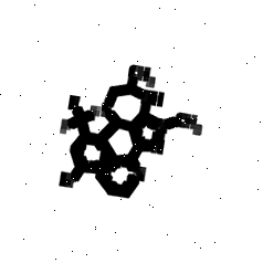 CC1CSC(c2ccc(Br)cc2C(F)(F)F)c2c(-c3ccccn3)nn(C)c2N1